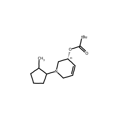 CC1CCCC1N1CC=C[C@@H](OC(=O)C(C)(C)C)C1